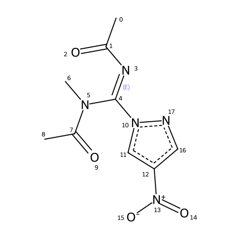 CC(=O)/N=C(\N(C)C(C)=O)n1cc([N+](=O)[O-])cn1